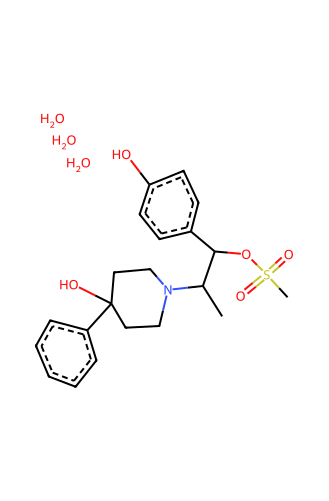 CC(C(OS(C)(=O)=O)c1ccc(O)cc1)N1CCC(O)(c2ccccc2)CC1.O.O.O